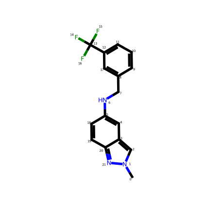 Cn1cc2cc(NCc3cccc(C(F)(F)F)c3)ccc2n1